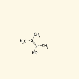 CS(C)=S(C)N=O